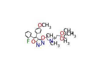 COc1ccc(-c2c(-c3ccccc3F)oc3ncnc(O[C@@H](C)CN(C)CCCC(=O)OC(C)(C)C)c23)cc1